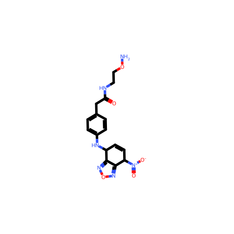 NOCCNC(=O)Cc1ccc(NC2C=CC([N+](=O)[O-])c3nonc32)cc1